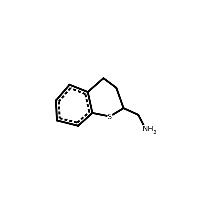 NCC1CCc2ccccc2S1